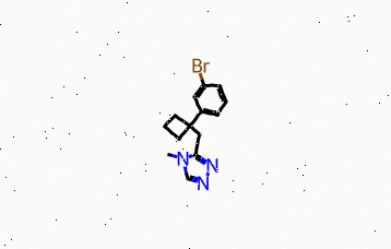 Cn1cnnc1CC1(c2cccc(Br)c2)CCC1